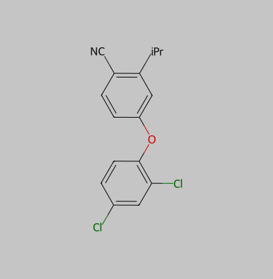 CC(C)c1cc(Oc2ccc(Cl)cc2Cl)ccc1C#N